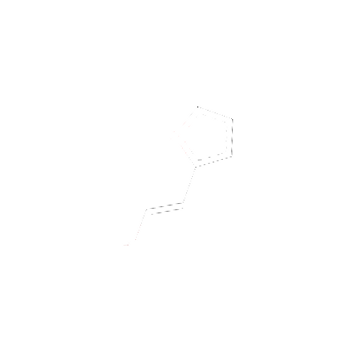 BrC=Cc1ccco1